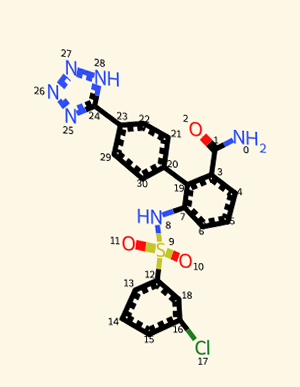 NC(=O)c1cccc(NS(=O)(=O)c2cccc(Cl)c2)c1-c1ccc(-c2nnn[nH]2)cc1